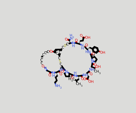 CC(C)C[C@@H]1NC(=O)[C@@H]2CCCN2C(=O)[C@@H]2CSCc3cc(cc(c3)OCCCCCCO/N=C/C(=O)N[C@@H](CCCCN)C(=O)N2)CSC[C@@H](C(N)=O)NC(=O)[C@H](CCC(=O)O)NC(=O)[C@H](Cc2ccc(O)cc2)NC(=O)[C@@H]2CCCN2C(=O)[C@H]([C@@H](C)O)NC(=O)[C@H](CC(=O)O)NC1=O